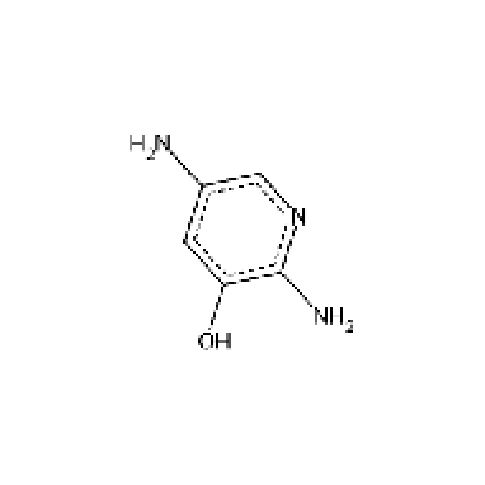 Nc1cnc(N)c(O)c1